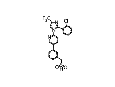 O=[SH](=O)Cc1cccc(-c2ccc(-n3cc(C(F)(F)F)nc3-c3ccccc3Cl)nc2)c1